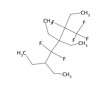 CCC(CC)C(F)(F)C(CC)(CC)C(F)(CC)C(F)(F)F